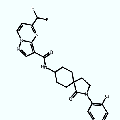 O=C(NC1CCC2(CC1)CCN(c1ccc(F)cc1Cl)C2=O)c1cnn2ccc(C(F)F)nc12